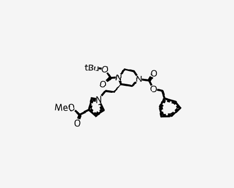 COC(=O)c1ccn(CC[C@@H]2CN(C(=O)OCc3ccccc3)CCN2C(=O)OC(C)(C)C)c1